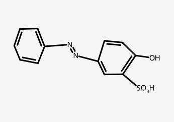 O=S(=O)(O)c1cc(N=Nc2ccccc2)ccc1O